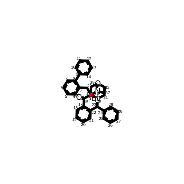 CCC(Cc1ccccc1-c1ccccc1)(C(=O)c1ccccc1C(c1ccccc1)N1CCOCC1)N(C)C